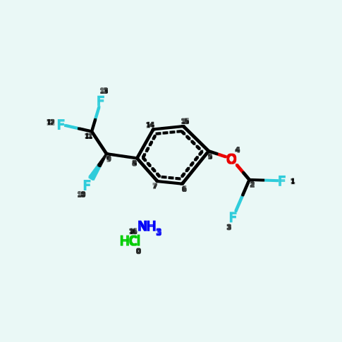 Cl.FC(F)Oc1ccc([C@@H](F)C(F)F)cc1.N